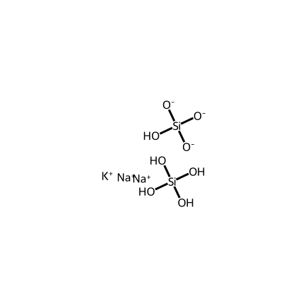 O[Si](O)(O)O.[K+].[Na+].[Na+].[O-][Si]([O-])([O-])O